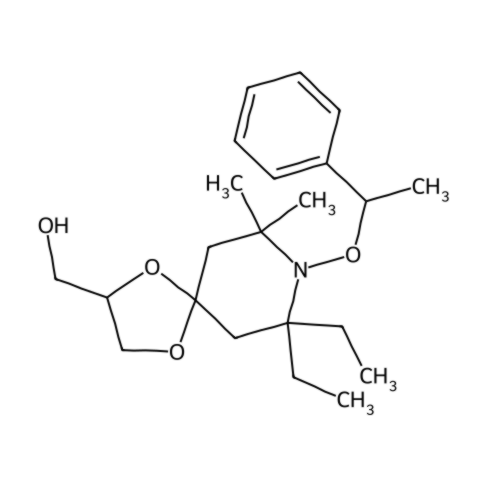 CCC1(CC)CC2(CC(C)(C)N1OC(C)c1ccccc1)OCC(CO)O2